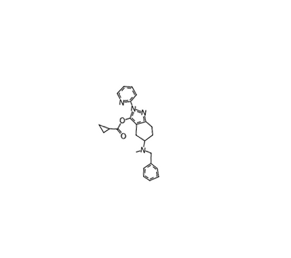 CN(Cc1ccccc1)C1CCc2nn(-c3ccccn3)c(OC(=O)C3CC3)c2C1